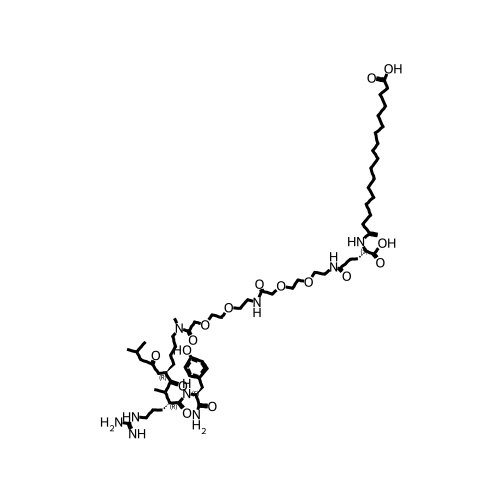 C=C(CCCCCCCCCCCCCCCCC(=O)O)N[C@@H](CCC(=O)NCCOCCOCC(=O)NCCOCCOCC(=O)N(C)CCCC[C@H](CC(=O)CC(C)C)C(=O)C(C)[C@@H](CCCNC(=N)N)C(=O)N[C@@H](Cc1ccc(O)cc1)C(N)=O)C(=O)O